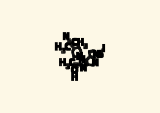 C[C@@H](O)c1nc2cnc3c(ccn3SI)c2n1N1CCC(C(C)(C)C#N)CC1